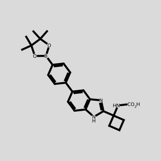 CC1(C)OB(c2ccc(-c3ccc4[nH]c(C5(NC(=O)O)CCC5)nc4c3)cc2)OC1(C)C